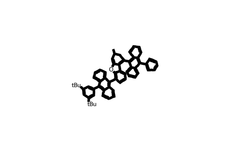 CC1C=c2oc3c(-c4c5ccccc5c(-c5cc(C(C)(C)C)cc(C(C)(C)C)c5)c5ccccc45)cccc3c2=C(c2c3ccccc3c(-c3ccccc3)c3ccccc23)C1